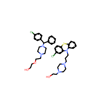 OCCN1CCN(CCCN2c3ccccc3Sc3ccc(Cl)cc32)CC1.OCCOCCN1CCN(C(c2ccccc2)c2ccc(Cl)cc2)CC1